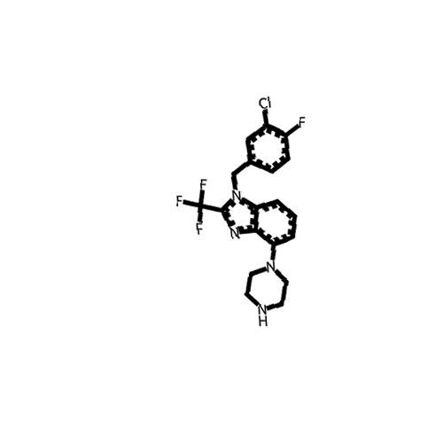 Fc1ccc(Cn2c(C(F)(F)F)nc3c(N4CCNCC4)cccc32)cc1Cl